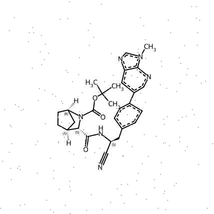 Cn1cnc2cc(-c3ccc(C[C@@H](C#N)NC(=O)[C@@H]4[C@H]5CC[C@H](C5)N4C(=O)OC(C)(C)C)cc3)cnc21